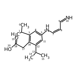 CC(C)c1cc(N/C=C\C=N)cc(C(C)C)c1CC(=O)O